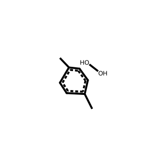 Cc1ccc(C)cc1.OO